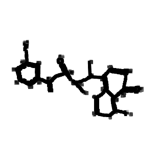 CC(C1=C2C=CCC(F)=C2C(=O)N=C1)N(C)C(=O)Nc1cccc(F)c1